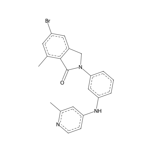 Cc1cc(Nc2cccc(N3Cc4cc(Br)cc(C)c4C3=O)c2)ccn1